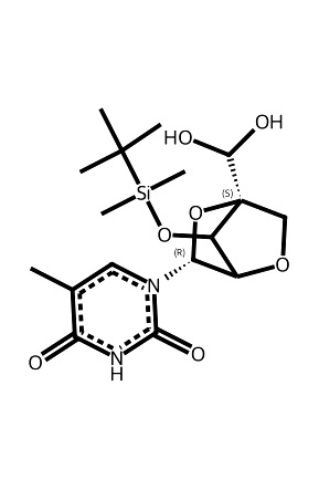 Cc1cn([C@@H]2O[C@@]3(C(O)O)COC2C3O[Si](C)(C)C(C)(C)C)c(=O)[nH]c1=O